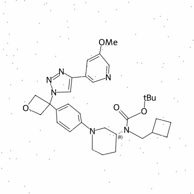 COc1cncc(-c2cn(C3(c4ccc(N5CCC[C@@H](N(CC6CCC6)C(=O)OC(C)(C)C)C5)cc4)COC3)nn2)c1